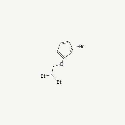 CCC(CC)COc1cccc(Br)c1